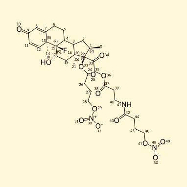 C[C@@H]1CC2C3CCC4=CC(=O)C=C[C@]4(C)[C@@]3(F)[C@@H](O)C[C@]2(C)[C@@]1(OC(=O)CCCO[N+](=O)[O-])C(=O)COC(=O)CCNC(=O)CCCO[N+](=O)[O-]